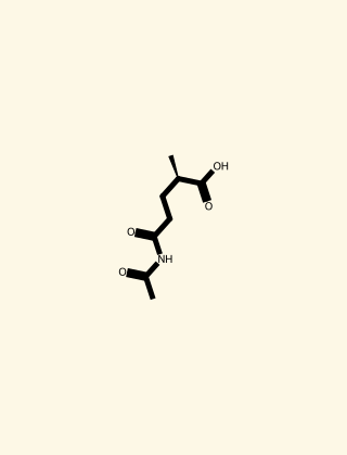 CC(=O)NC(=O)CC[C@@H](C)C(=O)O